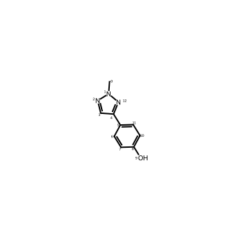 Cn1ncc(-c2ccc(O)cc2)n1